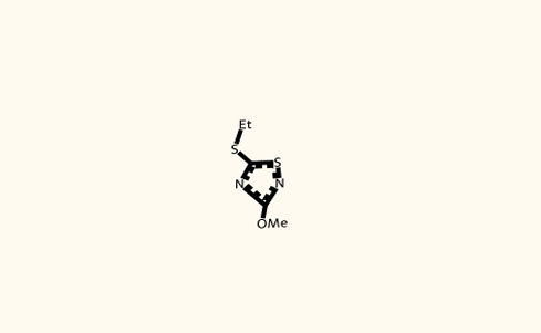 CCSc1nc(OC)ns1